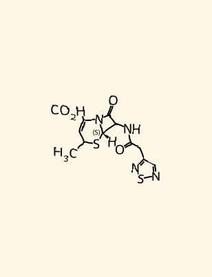 CC1C=C(C(=O)O)N2C(=O)C(NC(=O)Cc3cnsn3)[C@@H]2S1